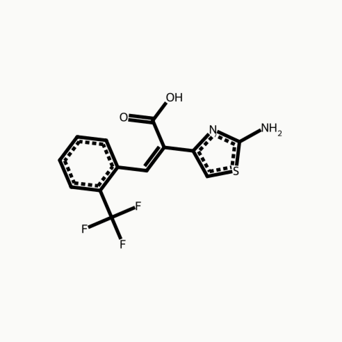 Nc1nc(/C(=C/c2ccccc2C(F)(F)F)C(=O)O)cs1